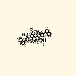 Cc1c(O)c2c(C)c(O)c3c(-c4ccc(-c5cccc6ccccc56)cc4)c(O)c(C)c4c(O)c(O)c(c1-c1ccc(-c5cccc6c5C=CCC6)cc1)c2c43